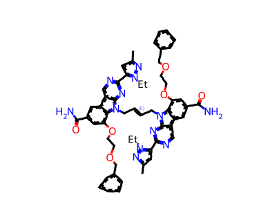 CCn1nc(C)cc1-c1ncc2c3cc(C(N)=O)cc(OCCOCc4ccccc4)c3n(C/C=C/Cn3c4nc(-c5cc(C)nn5CC)ncc4c4cc(C(N)=O)cc(OCCOCc5ccccc5)c43)c2n1